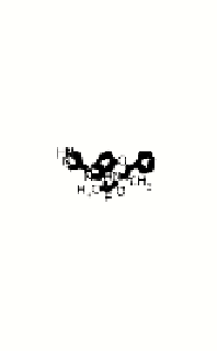 C[C@H](NC(=O)C(C)(F)F)[C@H](Oc1ccc2c(cnn2-c2cn[nH]c2)c1)c1ccccc1